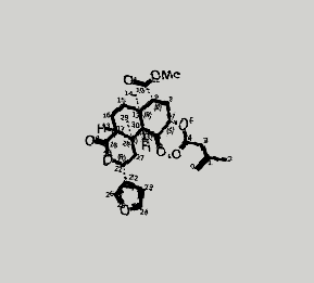 C=C(C)CC(=O)O[C@H]1C[C@@H](C(=O)OC)[C@]2(C)CC[C@H]3C(=O)O[C@@H](c4ccoc4)C[C@]3(C)[C@H]2C1=O